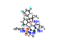 C/C=C(NC(=O)[C@@H](C)[C@@H](c1ccc(F)cc1)c1cc(F)cc(F)c1)\C(CC[C@H]1CNCCN1S(=O)(=O)NCCCCC)=C(\F)C=N